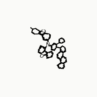 CC1C=Cc2c(oc3ccc(N(c4ccc(-c5cccc6c5ccc5c7ccccc7ccc65)c(-c5ccccc5)c4)c4cccc5oc6ccccc6c45)cc23)C1